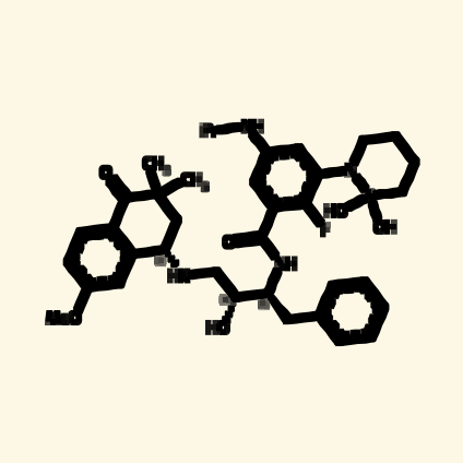 COc1ccc2c(c1)[C@@H](NC[C@@H](O)[C@H](Cc1ccccc1)NC(=O)c1cc(NC(C)C)cc(N3CCCCS3(O)O)c1F)CC(C)(C)C2=O